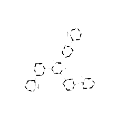 c1ccc(-c2ccc(-c3nc(-c4cccc(-c5ccccn5)c4)cc(-c4cccc(-c5ccccn5)c4)n3)cc2)nc1